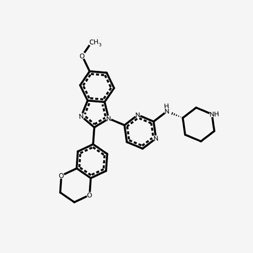 COc1ccc2c(c1)nc(-c1ccc3c(c1)OCCO3)n2-c1ccnc(N[C@H]2CCCNC2)n1